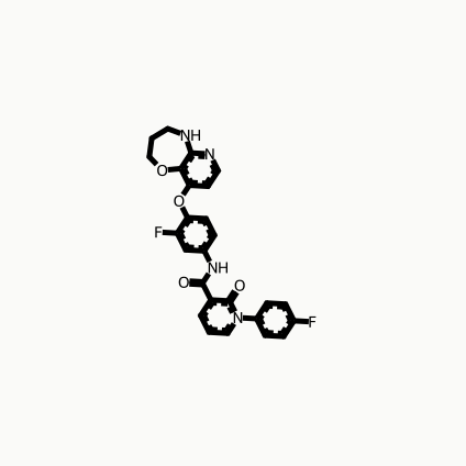 O=C(Nc1ccc(Oc2ccnc3c2OCCCN3)c(F)c1)c1cccn(-c2ccc(F)cc2)c1=O